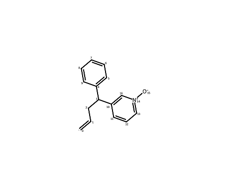 [CH]=CCC(c1ccccc1)c1ccc[n+]([O-])c1